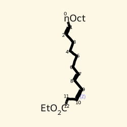 CCCCCCCCC=CCCCCC=C/C=C\CC(=O)OCC